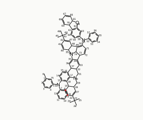 Cc1cccc(N(c2ccccc2)c2ccc3c4c2C2C=CC(C(C)(C)C)=CC2CN4CC2C=C4C(=CC32)N2C3C=CC(C(C)(C)C)=CC3C3=C(N(c5ccccc5)c5ccc6c(c5)OC5C=CC=CC65)C=CC4C32)c1